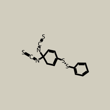 S=C=NC1(N=C=S)C=CC(SSc2ccccc2)=CC1